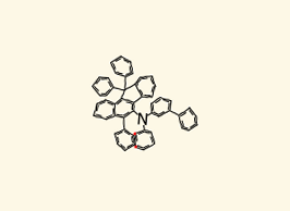 c1ccc(-c2cccc(N(c3ccccc3)c3c4c(c5ccccc5c3-c3ccccc3)C(c3ccccc3)(c3ccccc3)c3ccccc3-4)c2)cc1